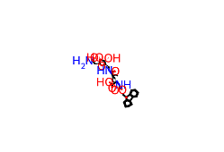 NC(=O)C[C@@H]1O[C@H](CNC(=O)CC[C@H](NC(=O)OCC2c3ccccc3-c3ccccc32)C(=O)O)[C@@H](O)[C@H]1O